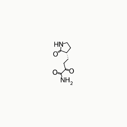 NC(=O)C(=O)CC[C@H]1CCNC1=O